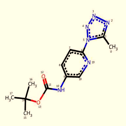 Cc1nnnn1-c1ccc(NC(=O)OC(C)(C)C)cn1